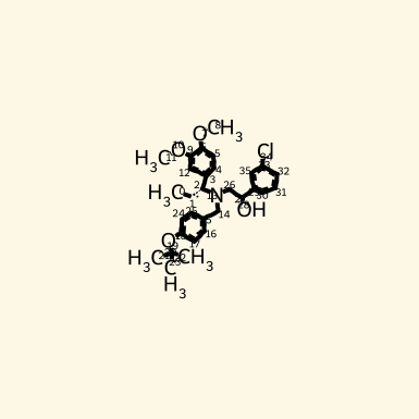 C[CH][C@H](c1ccc(OC)c(OC)c1)N(Cc1ccc(OC(C)(C)C)cc1)CC(O)c1cccc(Cl)c1